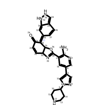 Nc1ncc(-c2cnn(C3CCNCC3)c2)cc1C1=NC2C=CC(=O)/C(=c3/ccc4c(c3)NNC=4)C2O1